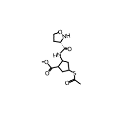 COC(=O)C1CC(SC(C)=O)CC1NC(=O)[C@@H]1CCON1